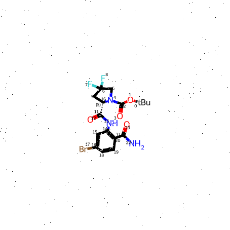 CC(C)(C)OC(=O)N1CC(F)(F)C[C@H]1C(=O)Nc1cc(Br)ccc1C(N)=O